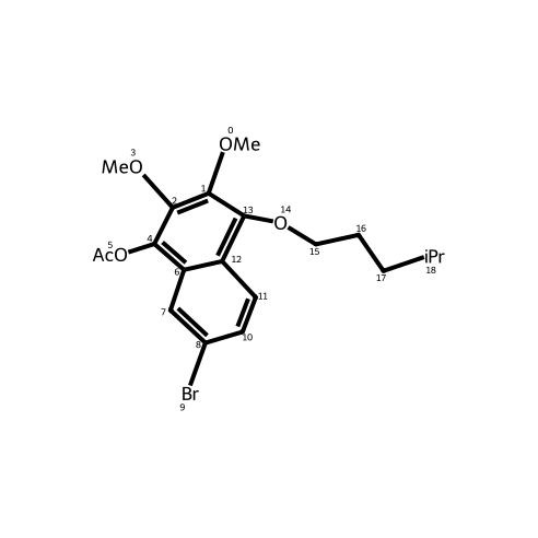 COc1c(OC)c(OC(C)=O)c2cc(Br)ccc2c1OCCCC(C)C